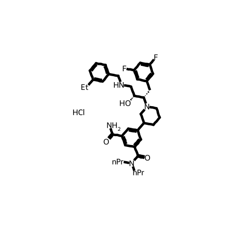 CCCN(CCC)C(=O)c1cc(C(N)=O)cc(C2CCCN([C@@H](Cc3cc(F)cc(F)c3)[C@H](O)CNCc3cccc(CC)c3)C2)c1.Cl